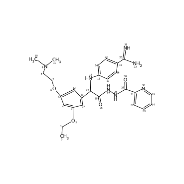 CCOc1cc(OCCN(C)C)cc(C(Nc2ccc(C(=N)N)cc2)C(=O)NNC(=O)c2ccccn2)c1